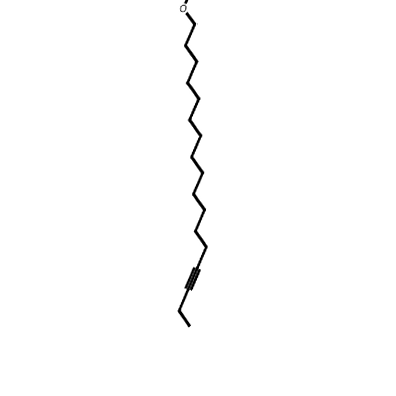 CCC#CCCCCCCCCCCCC[CH]OC